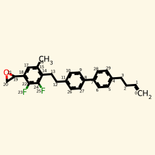 C=CCCc1ccc(-c2ccc(CCc3c(C)cc(C4CO4)c(F)c3F)cc2)cc1